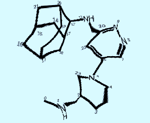 CN[C@@H]1CCN(c2cnnc(NC3C4CC5CC(C4)CC3C5)c2)C1